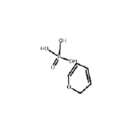 C1=CCOC=C1.O=P(O)(O)O